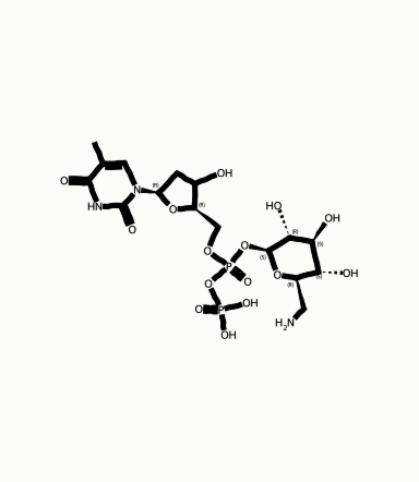 Cc1cn([C@H]2CC(O)[C@@H](COP(=O)(O[C@@H]3O[C@H](CN)[C@@H](O)[C@H](O)[C@H]3O)OP(=O)(O)O)O2)c(=O)[nH]c1=O